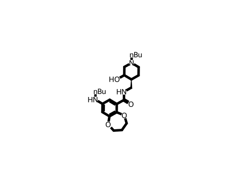 CCCCNc1cc2c(c(C(=O)NC[C@@H]3CCN(CCCC)CC3O)c1)OCCCO2